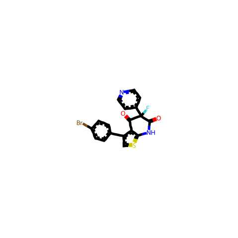 O=C1Nc2scc(-c3ccc(Br)cc3)c2C(=O)C1(F)c1ccncc1